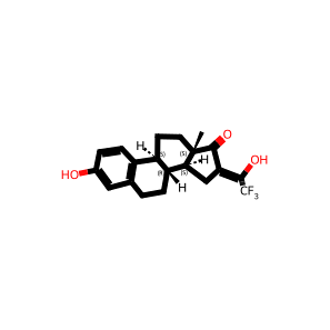 C[C@]12CC[C@@H]3c4ccc(O)cc4CC[C@H]3[C@@H]1CC(=C(O)C(F)(F)F)C2=O